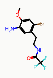 COc1cc(Br)c(CCNC(=O)C(F)(F)F)cc1N